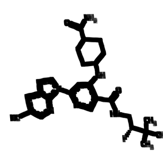 CC(C)(O)[C@H](F)CNC(=O)c1cnc(-n2ccc3cc(C#N)cnc32)cc1NC1CCC(C(N)=O)CC1